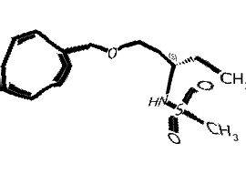 CC[C@@H](COCc1ccccc1)NS(C)(=O)=O